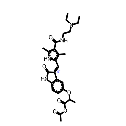 CCN(CC)CCNC(=O)c1c(C)[nH]c(/C=C2\C(=O)Nc3ccc(OC(C)C(=O)OC(C)=O)cc32)c1C